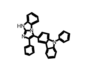 c1ccc(-c2nc3[nH]c4ccccc4n3c2-c2ccc3c(c2)c2ccccc2n3-c2ccccc2)cc1